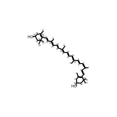 CC1=C(/C=C/C(C)=C\C=C\C(C)=C\C=C\C=C(C)\C=C\C=C(C)\C=C\C2=C(C)CC(O)CC2(C)C)C(C)(C)CC(O)C1